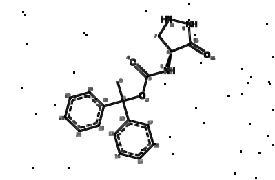 CC(OC(=O)N[C@H]1CNNC1=O)(c1ccccc1)c1ccccc1